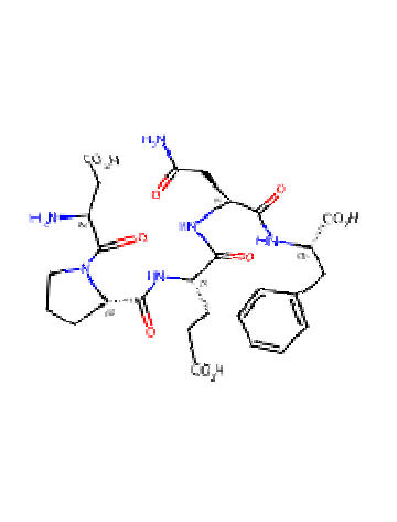 NC(=O)C[C@H](NC(=O)[C@H](CCC(=O)O)NC(=O)[C@@H]1CCCN1C(=O)[C@@H](N)CC(=O)O)C(=O)N[C@@H](Cc1ccccc1)C(=O)O